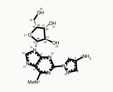 CNc1nc(-n2cc(N)cn2)nc2c1ncn2[C@@H]1O[C@H](CO)[C@H](O)[C@H]1O